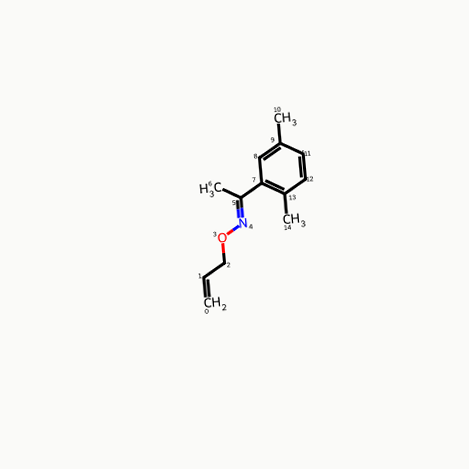 C=CCON=C(C)c1cc(C)[c]cc1C